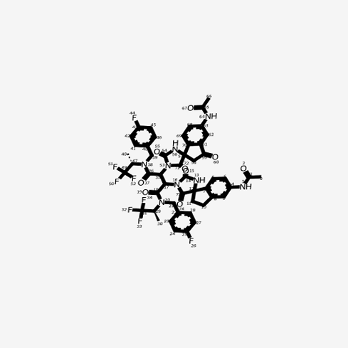 CC(=O)Nc1ccc2c(c1)CCC21NC(=O)N(C(C(=O)N(Cc2ccc(F)cc2)[C@@H](C)C(F)(F)F)C(C(=O)N(Cc2ccc(F)cc2)[C@@H](C)C(F)(F)F)N2C(=O)NC3(CC(=O)c4cc(NC(C)=O)ccc43)C2=O)C1=O